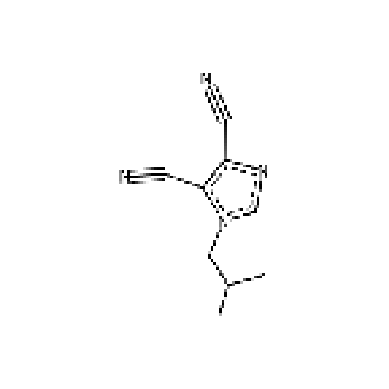 CC(C)Cn1cnc(C#N)c1C#N